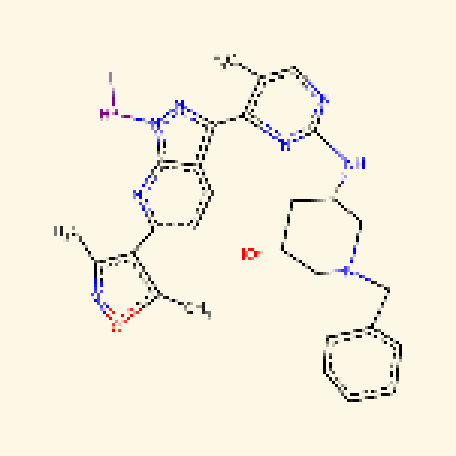 Cc1noc(C)c1-c1ccc2c(-c3nc(N[C@H]4C[C@@H](O)CN(Cc5ccccc5)C4)ncc3C(F)(F)F)nn(PI)c2n1